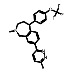 Cc1ccc(-c2ccc3c(c2)CN(C)CCC3c2ccc(OC(F)(F)F)cc2)nn1